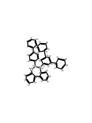 c1ccc(-c2ccc(-p3oc4ccccc4c4ccccc4n3-c3cc(-c4ccccc4)cc(-c4ccccc4)c3)cc2)cc1